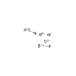 [F][Zr+3].[F][Zr+3].[O-2].[O-2].[O-2]